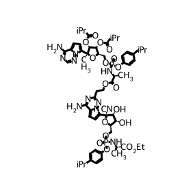 CCOC(=O)[C@H](C)NP(=O)(OC[C@H]1O[C@@](C#N)(c2ccc3c(N)nc(CCOC(=O)[C@H](C)NP(=O)(OC[C@H]4O[C@@](C)(c5ccc6c(N)ncnn56)[C@H](OC(=O)C(C)C)[C@@H]4OC(=O)C(C)C)Oc4ccc(C(C)C)cc4)nn23)[C@H](O)[C@@H]1O)Oc1ccc(C(C)C)cc1